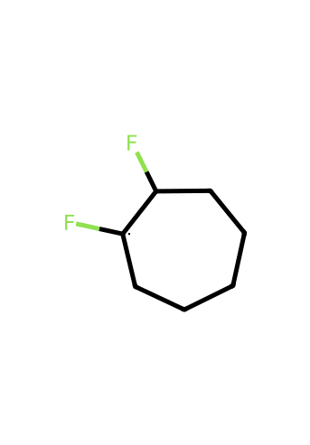 F[C]1CCCCCC1F